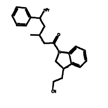 CCCC(CC(C)CC(=O)N1CC(CCC#N)c2ccccc21)c1ccccc1